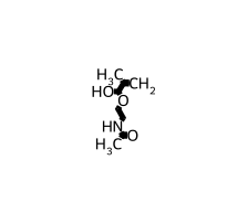 C=C(C)C(O)OCCNC(C)=O